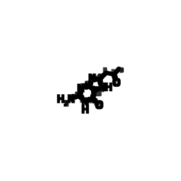 CC(=O)Cc1nc2nc(N)[nH]c(=O)c2[nH]1